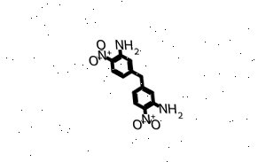 Nc1cc(Cc2ccc([N+](=O)[O-])c(N)c2)ccc1[N+](=O)[O-]